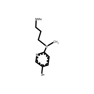 CNCCCN(C)c1ccc(C(C)C)cn1